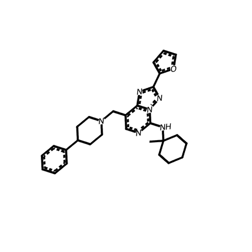 CC1(Nc2ncc(CN3CCC(c4ccccc4)CC3)c3nc(-c4ccco4)nn23)CCCCC1